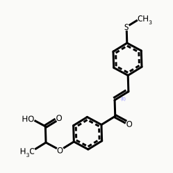 CSc1ccc(/C=C/C(=O)c2ccc(OC(C)C(=O)O)cc2)cc1